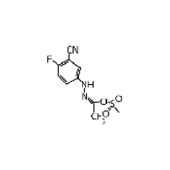 CS(=O)(=O)O/C(=N\Nc1ccc(F)c(C#N)c1)C(F)(F)F